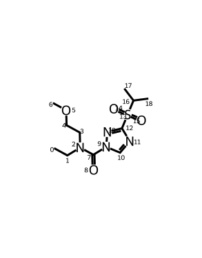 CCN(CCOC)C(=O)n1cnc(S(=O)(=O)C(C)C)n1